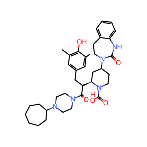 Cc1cc(CC(C(=O)N2CCN(C3CCCCCC3)CC2)[C@H]2CC(N3CCc4ccccc4NC3=O)CCN2C(=O)O)cc(C)c1O